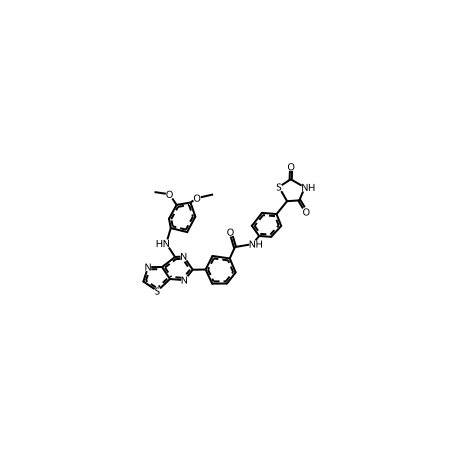 COc1ccc(Nc2nc(-c3cccc(C(=O)Nc4ccc(C5SC(=O)NC5=O)cc4)c3)nc3scnc23)cc1OC